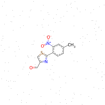 Cc1ccc(-c2nc(C=O)cs2)c([N+](=O)[O-])c1